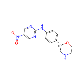 O=[N+]([O-])c1cnc(Nc2ccc([C@H]3CNCCO3)cc2)nc1